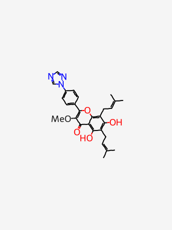 COc1c(-c2ccc(-n3cncn3)cc2)oc2c(CC=C(C)C)c(O)c(CC=C(C)C)c(O)c2c1=O